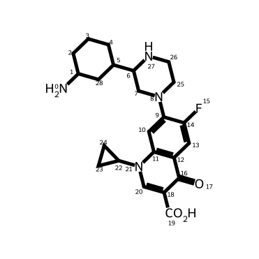 NC1CCCC(C2CN(c3cc4c(cc3F)c(=O)c(C(=O)O)cn4C3CC3)CCN2)C1